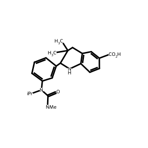 CNC(=O)N(c1cccc(C2Nc3ccc(C(=O)O)cc3CC2(C)C)c1)C(C)C